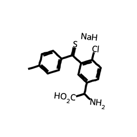 Cc1ccc(C(=S)c2cc(C(N)C(=O)O)ccc2Cl)cc1.[NaH]